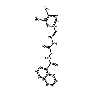 O=C(CNC(=O)c1cccc2ccccc12)NN=Cc1ccc(O)c(O)c1